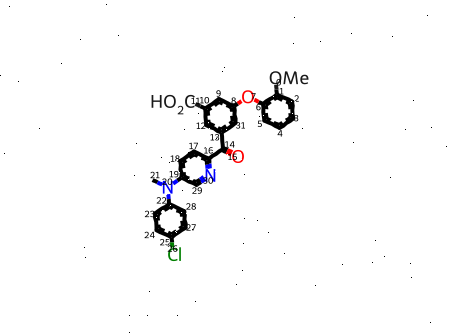 COc1ccccc1Oc1cc(C(=O)O)cc(C(=O)c2ccc(N(C)c3ccc(Cl)cc3)cn2)c1